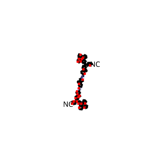 [C-]#[N+]c1ccc(N(c2ccc([Si](c3ccccc3)(c3ccccc3)c3ccccc3)cc2)c2ccc3c(c2)C(C)(C)c2cc(/C=C/c4ccc5c(c4)C(C)(C)c4cc(/C=C/c6ccc7c(c6)C(C)(C)c6cc(N(c8ccc(C#N)cc8)c8ccc([Si](c9ccccc9)(c9ccccc9)c9ccccc9)cc8)ccc6-7)ccc4-5)ccc2-3)cc1